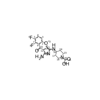 COc1ccc(F)c(F)c1C(=O)c1sc(NC2CCN(C(=O)O)CC2)nc1N